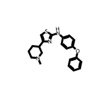 CN1CCCC(c2csc(Nc3ccc(Oc4ccccc4)cc3)n2)C1